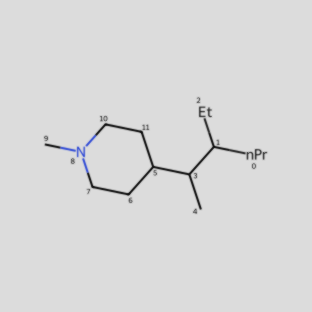 CCCC(CC)C(C)C1CCN(C)CC1